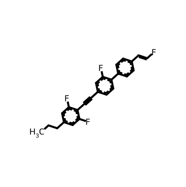 CCCc1cc(F)c(C#Cc2ccc(-c3ccc(C=CF)cc3)c(F)c2)c(F)c1